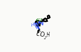 CN(CCC(=O)O)c1cc2nc(-c3ccc(-c4ccccc4)cc3)c(Cl)cc2[nH]1